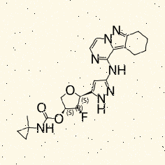 CC1(NC(=O)O[C@H]2CO[C@@H](c3cc(Nc4nccn5nc6c(c45)CCCC6)n[nH]3)[C@H]2F)CC1